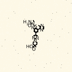 CCN(C(N)=O)c1nc2cc(-c3cnc(N4CCC(C)(C(=O)O)CC4)nc3)cc(-c3nccnc3C)c2s1